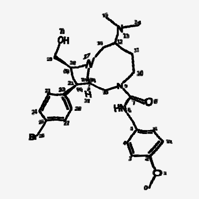 COc1ccc(NC(=O)N2CCC(N(C)C)CN3[C@H](CO)[C@H](c4ccc(Br)cc4)[C@@H]3C2)cc1